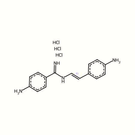 Cl.Cl.Cl.N=C(N/C=C/c1ccc(N)cc1)c1ccc(N)cc1